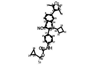 Cc1noc(C)c1-c1ccc2c(C#N)c(-c3ccc(NC(=O)O[C@H](C)C4CC4)cc3)n(C3CCC3)c2c1